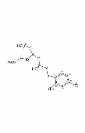 COCOC(CC(=O)O)CC(O)CCc1ccc(Cl)cc1Cl